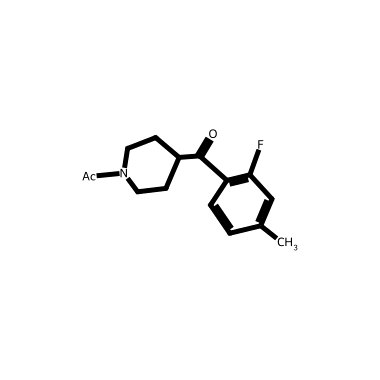 CC(=O)N1CCC(C(=O)c2ccc(C)cc2F)CC1